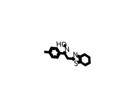 Cc1ccc(C(Cc2nc3c(s2)CCCC3)=NO)cc1